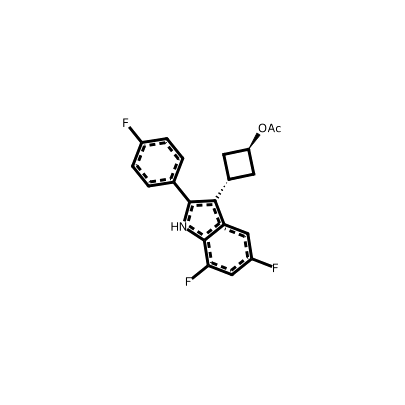 CC(=O)O[C@H]1C[C@H](c2c(-c3ccc(F)cc3)[nH]c3c(F)cc(F)cc32)C1